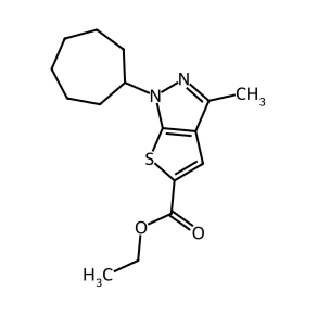 CCOC(=O)c1cc2c(C)nn(C3CCCCCC3)c2s1